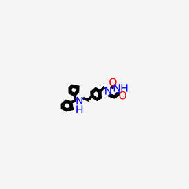 O=c1ccn(Cc2ccc(CCNC(c3ccccc3)c3ccccc3)cc2)c(=O)[nH]1